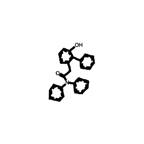 O=C(Cc1cccc(O)c1-c1ccccc1)N(c1ccccc1)c1ccccc1